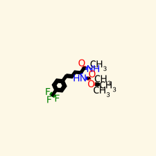 CNC(=O)C(CC=Cc1ccc(C(F)(F)F)cc1)NC(=O)OC(C)(C)C